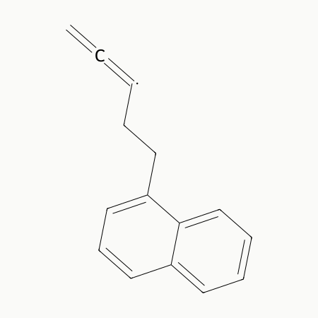 C=C=[C]CCc1cccc2ccccc12